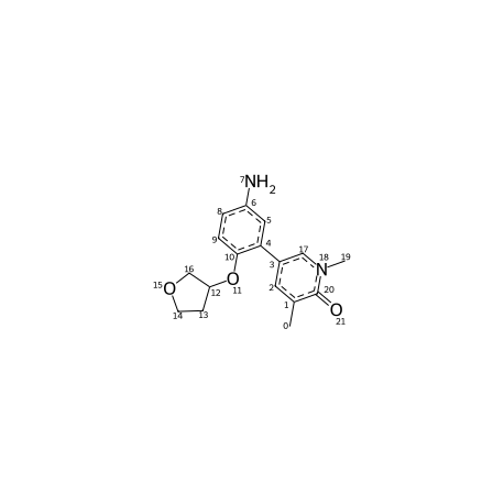 Cc1cc(-c2cc(N)ccc2OC2CCOC2)cn(C)c1=O